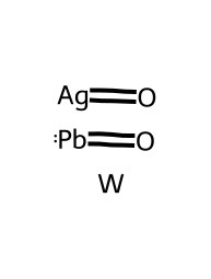 [O]=[Ag].[O]=[Pb].[W]